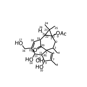 CC(=O)O[C@@]12CC(C)C34C=C(C)C(O)[C@@]3(O)C(O)C(CO)=CC(C4=O)[C@H]1C2(C)C